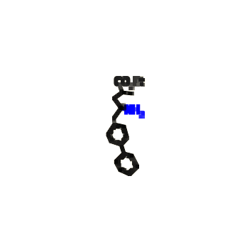 CCOC(=O)C(C)C[C@@H](N)Cc1ccc(-c2ccccc2)cc1